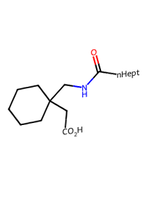 CCCCCCCC(=O)NCC1(CC(=O)O)CCCCC1